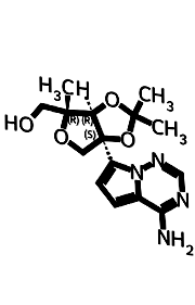 CC1(C)O[C@@H]2[C@@](C)(CO)OC[C@]2(c2ccc3c(N)ncnn23)O1